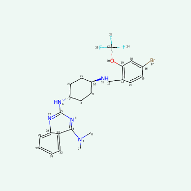 CN(C)c1nc(N[C@H]2CC[C@H](NCc3ccc(Br)cc3OC(F)(F)F)CC2)nc2ccccc12